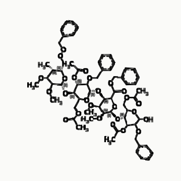 COC1C(OC)[C@H](C)[C@H](COOCc2ccccc2)O[C@@H]1O[C@@H]1C(COC(C)=O)O[C@@H](O[C@H]2C(C(=O)OCc3ccccc3)O[C@@H](O[C@@H]3C(COC(C)=O)OC(O)C(OCc4ccccc4)C3OC(C)=O)[C@@H](OC)C2OC)C(OCc2ccccc2)[C@H]1OC(C)=O